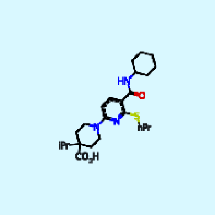 CCCSc1nc(N2CCC(C(=O)O)(C(C)C)CC2)ccc1C(=O)NC1CCCCC1